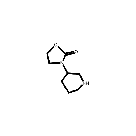 O=C1OCCN1C1CCCNC1